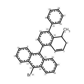 CC1CC=Cc2c(-c3c4ccccc4c(Br)c4ccccc34)ccc(-c3ccccc3)c21